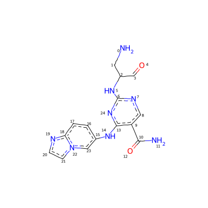 NCC(C=O)Nc1ncc(C(N)=O)c(Nc2ccc3nccn3c2)n1